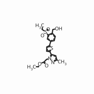 CCOC(=O)Cn1nc(C)cc1-c1ccc(-c2ccc(CO)c(S(=O)(=O)CC)c2)s1